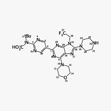 CC(C)(C)N(C(=O)O)c1ncc(-c2nc(N3CCOCC3)c3nc(N4CCNCC4)n(CC(F)(F)F)c3n2)cn1